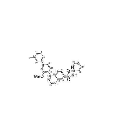 COc1cc(-c2cccc(C)c2)ccc1-c1nccc2cc(S(=O)(=O)Nc3ccncn3)ccc12